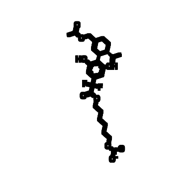 C=C(C)[C@H]1CCC(COC(C)=O)=C[C@@H]1c1c(O)cc(C(F)(F)C(=O)OCCCCCCO[N+](=O)[O-])cc1O